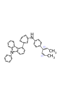 C/C=C\C(=C/C)c1ccc(Nc2cccc(-c3cccc4c3c3ccccc3n4-c3ccccc3)c2)cc1